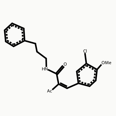 COc1ccc(C=C(C(C)=O)C(=O)NCCCc2ccccc2)cc1Cl